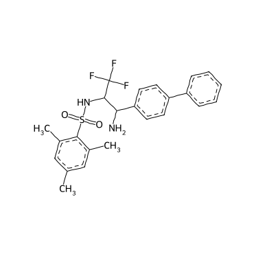 Cc1cc(C)c(S(=O)(=O)NC(C(N)c2ccc(-c3ccccc3)cc2)C(F)(F)F)c(C)c1